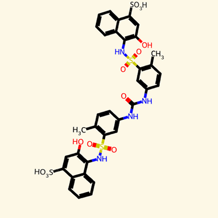 Cc1ccc(NC(=O)Nc2ccc(C)c(S(=O)(=O)Nc3c(O)cc(S(=O)(=O)O)c4ccccc34)c2)cc1S(=O)(=O)Nc1c(O)cc(S(=O)(=O)O)c2ccccc12